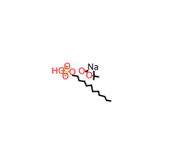 CC(C)(C)O[C](=O)[Na].CCCCCCCCCCCCOS(=O)(=O)O